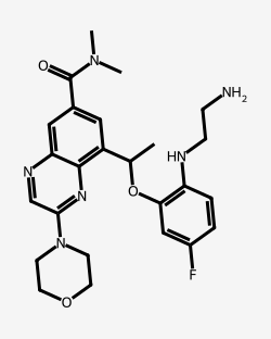 CC(Oc1cc(F)ccc1NCCN)c1cc(C(=O)N(C)C)cc2ncc(N3CCOCC3)nc12